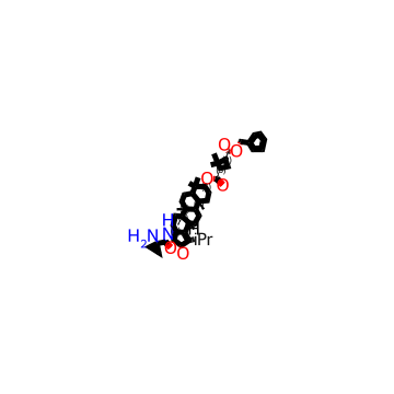 CC(C)C1=C2[C@H]3CCC4[C@@]5(C)CC[C@H](OC(=O)[C@H]6C[C@@H](C(=O)OCc7ccccc7)C6(C)C)C(C)(C)C5CC[C@@]4(C)[C@]3(C)CC[C@@]2(NC(=O)C2(N)CC2)CC1=O